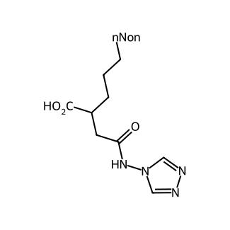 CCCCCCCCCCCCC(CC(=O)Nn1cnnc1)C(=O)O